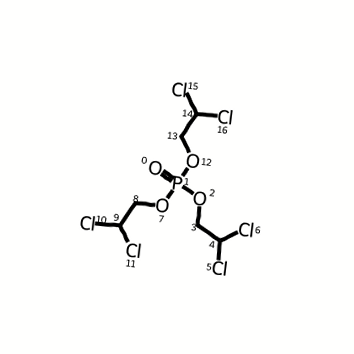 O=P(OCC(Cl)Cl)(OCC(Cl)Cl)OCC(Cl)Cl